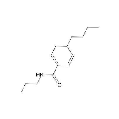 CCCCC1C=CC(C(=O)NCCC)=CC1